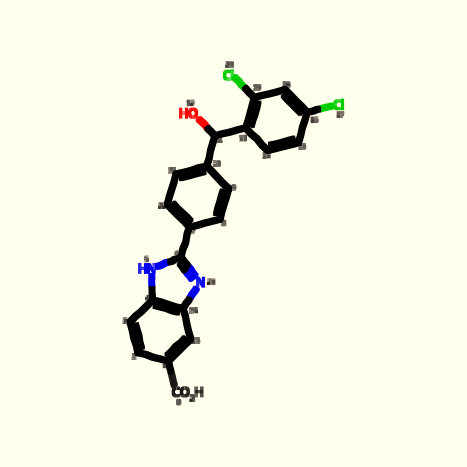 O=C(O)c1ccc2[nH]c(-c3ccc(C(O)c4ccc(Cl)cc4Cl)cc3)nc2c1